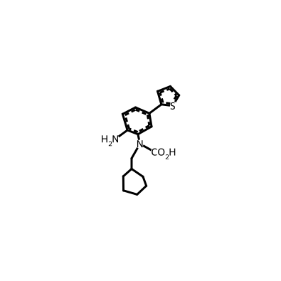 Nc1ccc(-c2cccs2)cc1N(CC1CCCCC1)C(=O)O